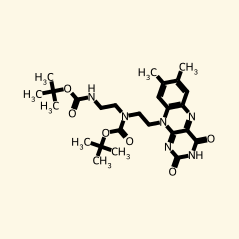 Cc1cc2nc3c(=O)[nH]c(=O)nc-3n(CCN(CCNC(=O)OC(C)(C)C)C(=O)OC(C)(C)C)c2cc1C